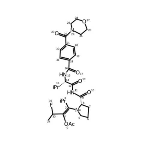 CC(=O)O/C(=C(/C(C)C)N1CCC[C@H]1C(=O)NC(=O)[C@@H](NC(=O)c1ccc(C(=O)N2CCOCC2)cc1)C(C)C)C(C)F